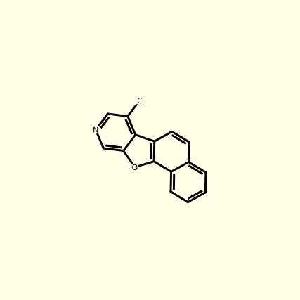 Clc1cncc2oc3c4ccccc4ccc3c12